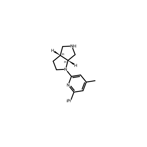 Cc1cc(C(C)C)nc(N2CC[C@@H]3CNC[C@@H]32)c1